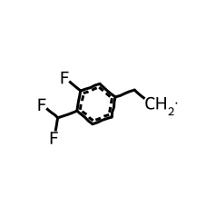 [CH2]Cc1ccc(C(F)F)c(F)c1